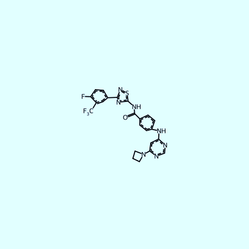 O=C(Nc1nc(-c2ccc(F)c(C(F)(F)F)c2)ns1)c1ccc(Nc2cc(N3CCC3)ncn2)cc1